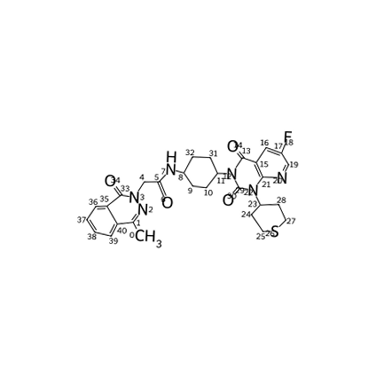 Cc1nn(CC(=O)NC2CCC(n3c(=O)c4cc(F)cnc4n(C4CCSCC4)c3=O)CC2)c(=O)c2ccccc12